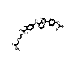 Cc1cc(Nc2nccn3c(-c4ccc(OC(F)F)cc4)cnc23)ccc1C(=O)NCCOCC(N)=O